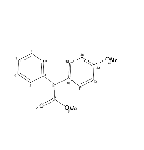 COC(=O)C(c1ccccc1)c1ccc(OC)cc1